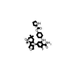 CC1(C)Cc2c(c3c(n2-c2cc(F)c(C(N)=O)c(N[C@H]4CC[C@H](OC(=O)[C@@H]5CCCN5)CC4)c2)COC3)S(=O)(=O)C1